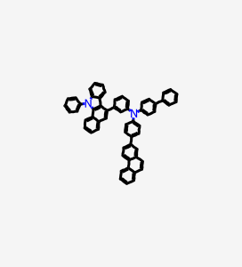 c1ccc(-c2ccc(N(c3ccc(-c4ccc5c(ccc6ccccc65)c4)cc3)c3cccc(-c4cc5ccccc5c5c4c4ccccc4n5-c4ccccc4)c3)cc2)cc1